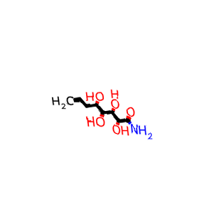 C=CCC(O)C(O)C(O)C(O)C(N)=O